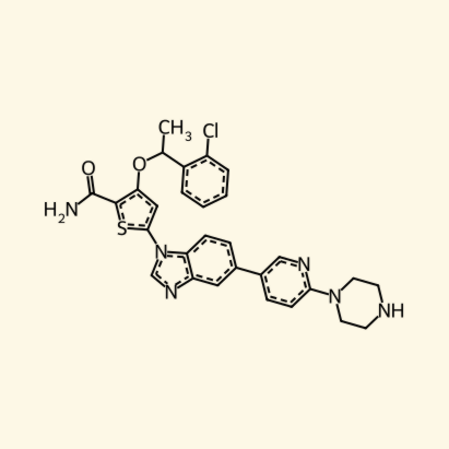 CC(Oc1cc(-n2cnc3cc(-c4ccc(N5CCNCC5)nc4)ccc32)sc1C(N)=O)c1ccccc1Cl